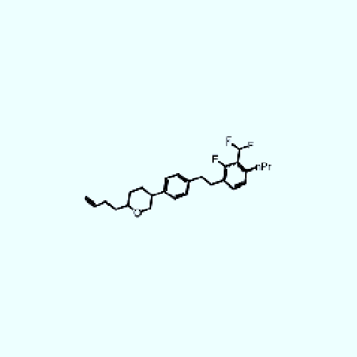 C=CCCC1CCC(c2ccc(CCc3ccc(CCC)c(C(F)F)c3F)cc2)CO1